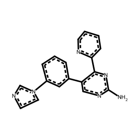 Nc1ncc(-c2cccc(-n3ccnc3)c2)c(-c2ccccn2)n1